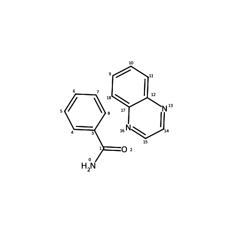 NC(=O)c1ccccc1.c1ccc2nccnc2c1